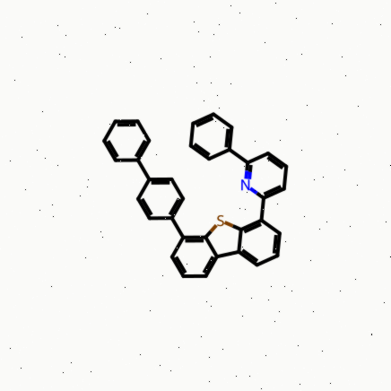 c1ccc(-c2ccc(-c3cccc4c3sc3c(-c5cccc(-c6ccccc6)n5)cccc34)cc2)cc1